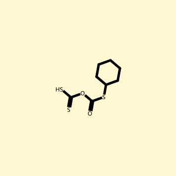 O=C(OC(=S)S)SC1CCCCC1